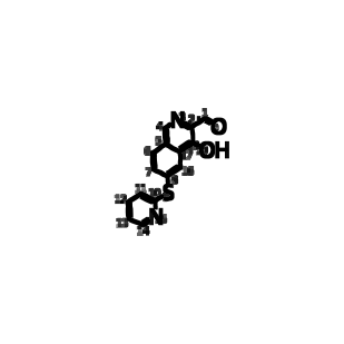 O=[C]c1ncc2ccc(Sc3ccccn3)cc2c1O